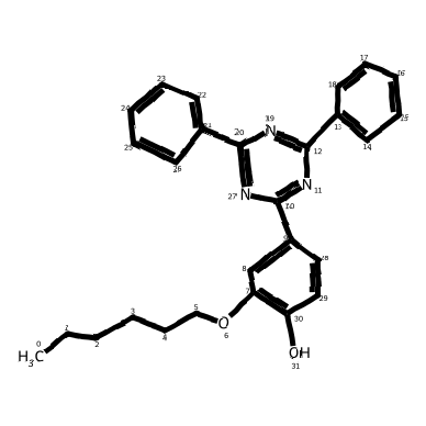 CCCCCCOc1cc(-c2nc(-c3ccccc3)nc(-c3ccccc3)n2)ccc1O